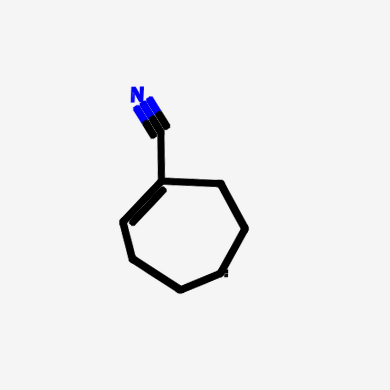 N#CC1=CCC[C]CC1